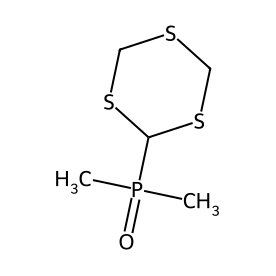 CP(C)(=O)C1SCSCS1